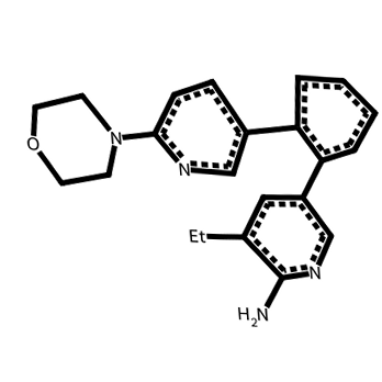 CCc1cc(-c2ccccc2-c2ccc(N3CCOCC3)nc2)cnc1N